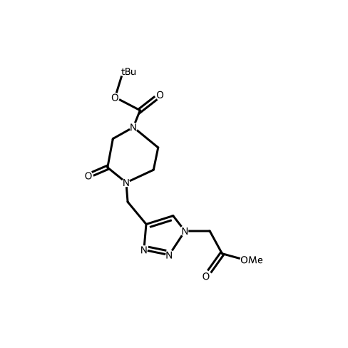 COC(=O)Cn1cc(CN2CCN(C(=O)OC(C)(C)C)CC2=O)nn1